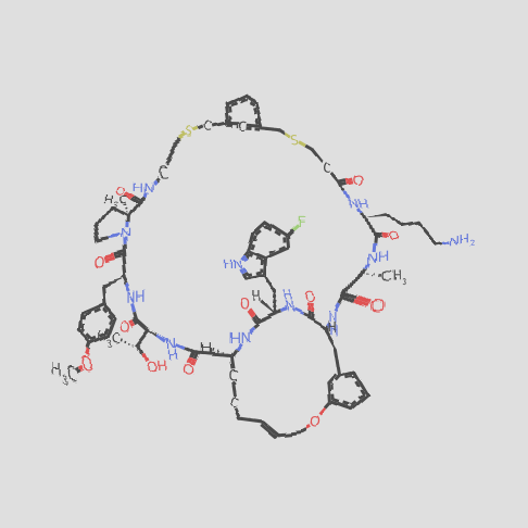 COc1ccc(C[C@@H]2NC(=O)[C@H]([C@@H](C)O)NC(=O)[C@@H]3CCC/C=C/COc4cccc(c4)C[C@H](NC(=O)[C@@H](C)NC(=O)[C@H](CCCCN)NC(=O)CCSCc4cccc(c4)CSCCNC(=O)[C@]4(C)CCCN4C2=O)C(=O)N[C@@H](Cc2c[nH]c4ccc(F)cc24)C(=O)N3)cc1